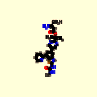 CCNC(=O)Nc1nc2cc(-c3cnc(C(C)(C)OC(=O)C[C@H](N)C(=O)O)nc3)cc(-c3ccccn3)c2s1